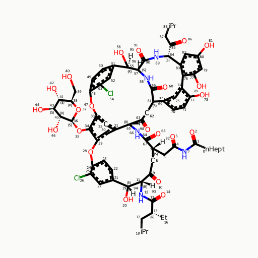 CCCCCCCC(=O)NC(=O)C[C@@H]1CC(=O)[C@H](NC(=O)[C@H](CC)CC(C)C)[C@H](O)c2ccc(c(Cl)c2)Oc2cc3cc(c2O[C@@H]2O[C@H](CO)[C@@H](O)[C@H](O)[C@H]2O)Oc2ccc(cc2Cl)[C@@H](O)[C@@H]2NC(=O)[C@H](CC(=O)[C@@H]3NC1=O)c1ccc(O)c(c1)-c1c(O)cc(O)cc1[C@@H](C(=O)CC(C)C)NC2=O